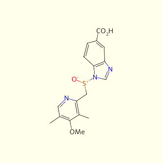 COc1c(C)cnc(C[S+]([O-])n2cnc3cc(C(=O)O)ccc32)c1C